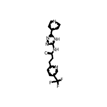 O=C(CCc1ccc(C(F)(F)F)cn1)Nc1nnc(-c2ccncc2)[nH]1